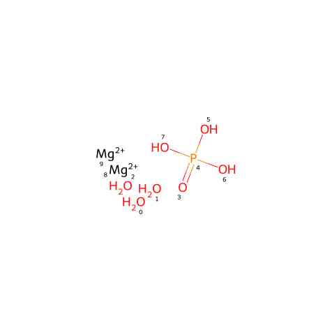 O.O.O.O=P(O)(O)O.[Mg+2].[Mg+2]